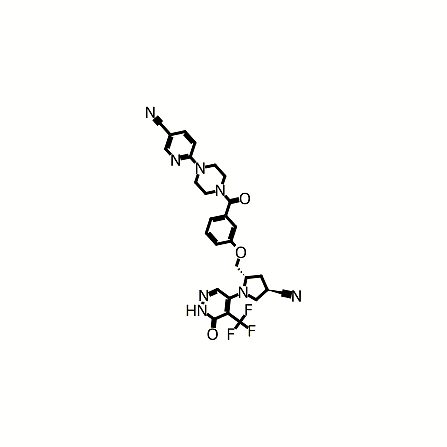 N#Cc1ccc(N2CCN(C(=O)c3cccc(OC[C@@H]4C[C@@H](C#N)CN4c4cn[nH]c(=O)c4C(F)(F)F)c3)CC2)nc1